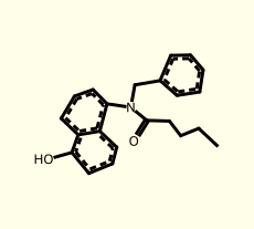 CCCCC(=O)N(Cc1ccccc1)c1cccc2c(O)cccc12